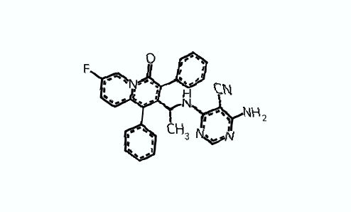 CC(Nc1ncnc(N)c1C#N)c1c(-c2ccccc2)c(=O)n2cc(F)ccc2c1-c1ccccc1